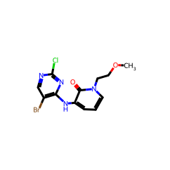 COCCn1cccc(Nc2nc(Cl)ncc2Br)c1=O